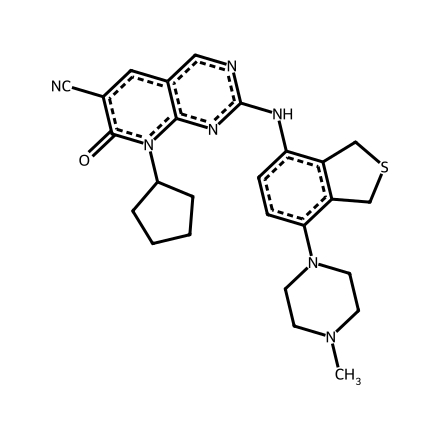 CN1CCN(c2ccc(Nc3ncc4cc(C#N)c(=O)n(C5CCCC5)c4n3)c3c2CSC3)CC1